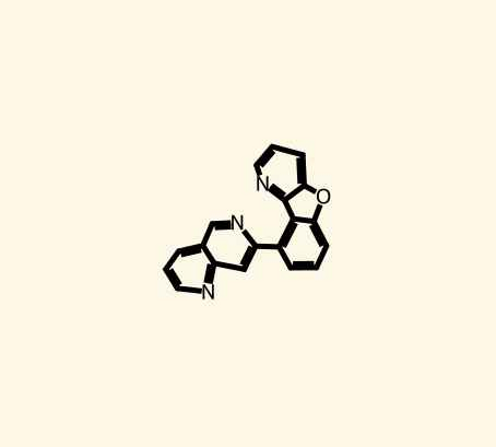 c1cnc2cc(-c3cccc4oc5cccnc5c34)ncc2c1